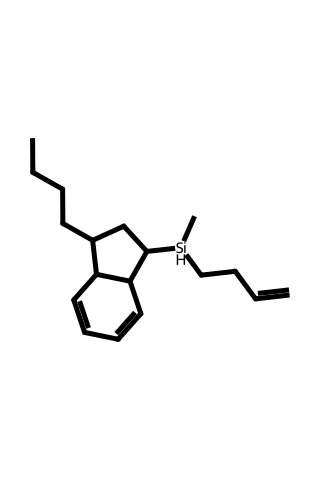 C=CCC[SiH](C)C1CC(CCCC)C2C=CC=CC21